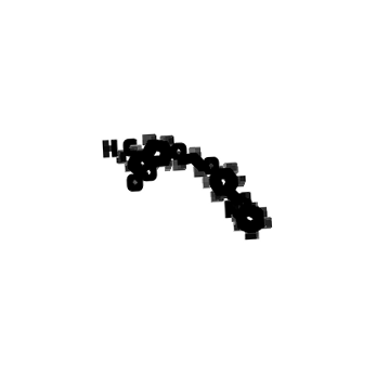 Cc1cc(=O)oc2cc(OCCCOc3ccc(-c4nc5ccccc5s4)cc3)ccc12